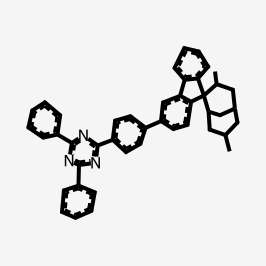 CC1CC2CC(C)C3(c4ccccc4-c4cc(-c5ccc(-c6nc(-c7ccccc7)nc(-c7ccccc7)n6)cc5)ccc43)C(C1)C2